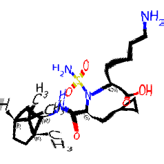 CC1(C)[C@@H]2CC[C@@]1(C)[C@H](NC(=O)[C@H](CC1CC1)N([C@@H](CCCCN)C(=O)O)S(N)(=O)=O)C2